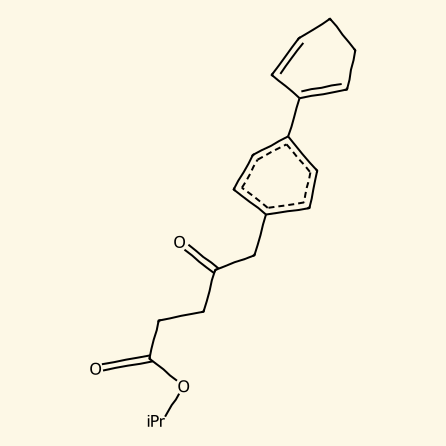 CC(C)OC(=O)CCC(=O)Cc1ccc(C2=CCCC=C2)cc1